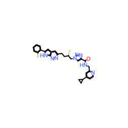 O=C(NCc1cc(C2CC2)ccn1)c1cn(CC(F)CCc2cc3cc(-c4ccccc4F)[nH]c3nn2)nn1